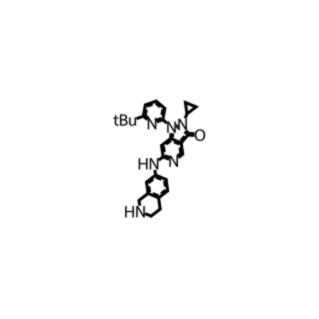 CC(C)(C)c1cccc(-n2c3cc(Nc4ccc5c(c4)CNCC5)ncc3c(=O)n2C2CC2)n1